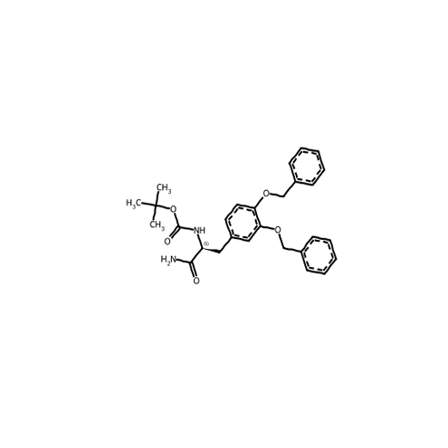 CC(C)(C)OC(=O)N[C@@H](Cc1ccc(OCc2ccccc2)c(OCc2ccccc2)c1)C(N)=O